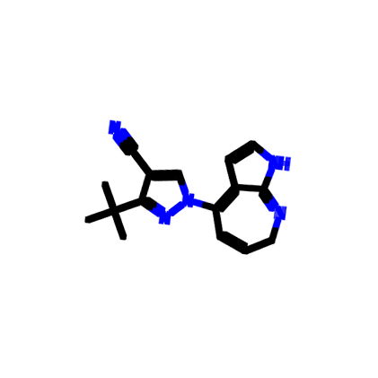 CC(C)(C)c1nn(C2=c3cc[nH]c3=NCC=C2)cc1C#N